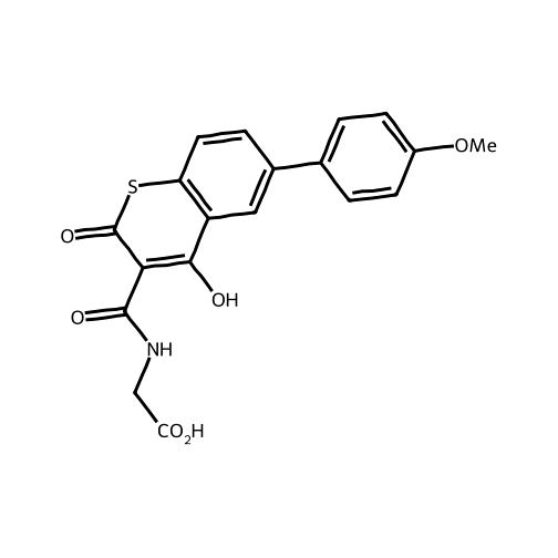 COc1ccc(-c2ccc3sc(=O)c(C(=O)NCC(=O)O)c(O)c3c2)cc1